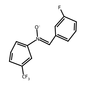 [O-][N+](=Cc1cccc(F)c1)c1cccc(C(F)(F)F)c1